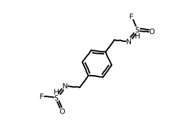 O=[SH](/F)=N/Cc1ccc(C/N=[SH](=O)/F)cc1